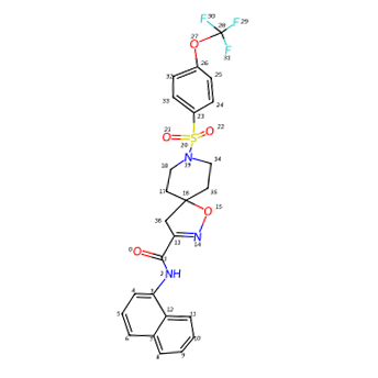 O=C(Nc1cccc2ccccc12)C1=NOC2(CCN(S(=O)(=O)c3ccc(OC(F)(F)F)cc3)CC2)C1